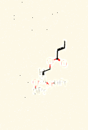 CC=CC(=O)OCC[SiH](OCCC)OCCC